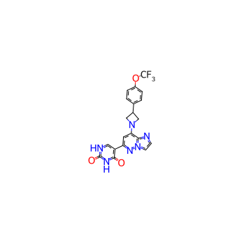 O=c1[nH]cc(-c2cc(N3CC(c4ccc(OC(F)(F)F)cc4)C3)c3nccn3n2)c(=O)[nH]1